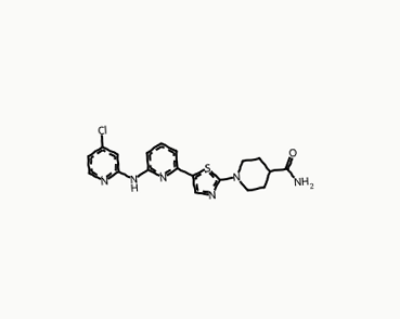 NC(=O)C1CCN(c2ncc(-c3cccc(Nc4cc(Cl)ccn4)n3)s2)CC1